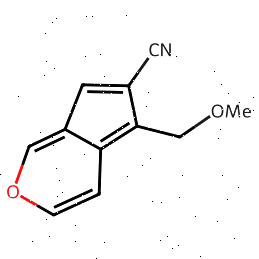 COCc1c(C#N)cc2coccc1-2